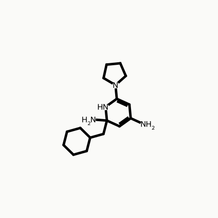 NC1=CC(N)(CC2CCCCC2)NC(N2CCCC2)=C1